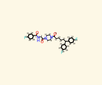 O=C(NCC(=O)N1CCN(C(=O)CCCCC(c2ccc(F)cc2)c2ccc(F)cc2)CC1)c1ccc(F)cc1